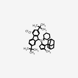 CC1=CC[C]([Zr+2](=[C]2CCCCC2)[CH]2c3cc(C(C)(C)C)ccc3-c3ccc(C(C)(C)C)cc32)=C1C12CC3CC(CC(C3)C1)C2.[Cl-].[Cl-]